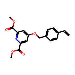 C=Cc1ccc(COc2cc(C(=O)OC)nc(C(=O)OC)c2)cc1